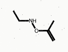 C=C(C)ONCC